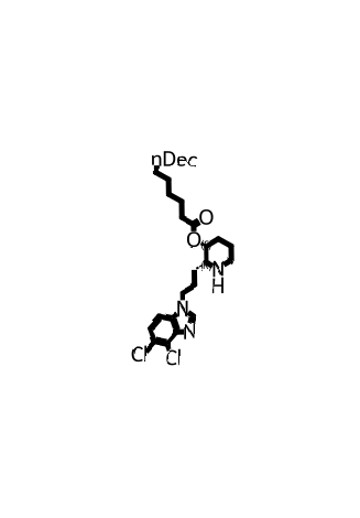 CCCCCCCCCCCCCCCC(=O)O[C@H]1CCCN[C@@H]1CCCn1cnc2c(Cl)c(Cl)ccc21